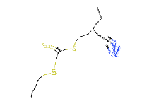 CCSC(=S)SCC(C)C#N